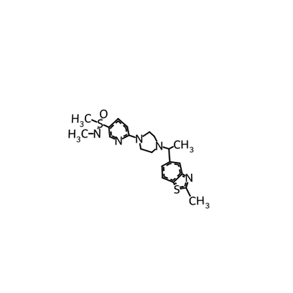 CN=S(C)(=O)c1ccc(N2CCN(C(C)c3ccc4sc(C)nc4c3)CC2)nc1